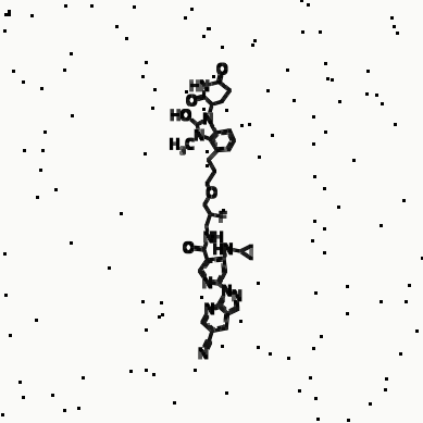 CN1c2c(CCCOCC(F)CNC(=O)c3cnc(-n4ncc5cc(C#N)cnc54)cc3NC3CC3)cccc2N(C2CCC(=O)NC2=O)C1O